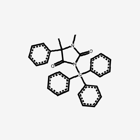 CN1C(=O)N([Si](c2ccccc2)(c2ccccc2)c2ccccc2)C(=O)C1(C)c1ccccc1